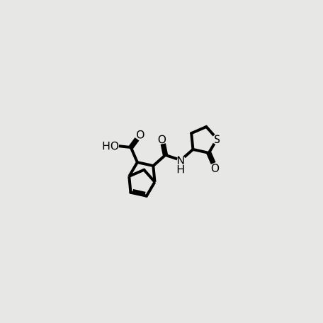 O=C1SCCC1NC(=O)C1C2C=CC(C2)C1C(=O)O